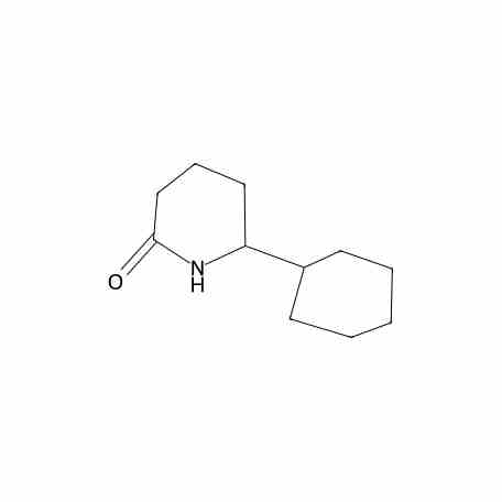 O=C1CCCC(C2CCCCC2)N1